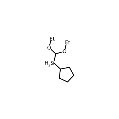 CCOC(OCC)[SiH2]C1CCCC1